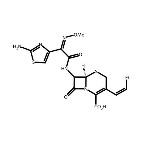 CC/C=C\C1=C(C(=O)O)N2C(=O)C(NC(=O)/C(=N\OC)c3csc(N)n3)[C@H]2SC1